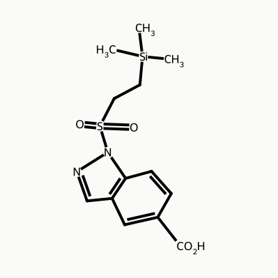 C[Si](C)(C)CCS(=O)(=O)n1ncc2cc(C(=O)O)ccc21